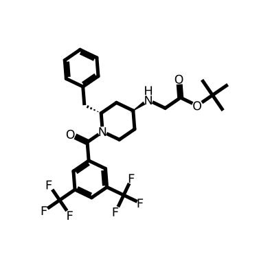 CC(C)(C)OC(=O)CN[C@H]1CCN(C(=O)c2cc(C(F)(F)F)cc(C(F)(F)F)c2)[C@H](Cc2ccccc2)C1